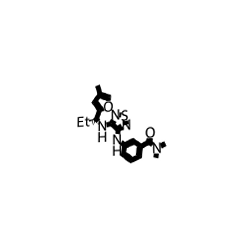 CC[C@@H](Nc1nsnc1Nc1cccc(C(=O)N(C)C)c1)c1cc(C)co1